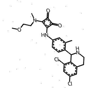 COCCN(C)c1c(Nc2ccc(C3NCCc4cc(Cl)cc(Cl)c43)c(C)c2)c(=O)c1=O